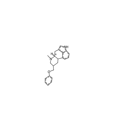 CN1CC(COc2ccccc2)CC2c3cccc4[nH]cc(c34)C[C@H]21